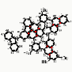 CC(C)(C)c1cc(-c2ccc3c(c2)N(c2c(-c4ccccc4)cc(C(C)(C)C)cc2-c2ccccc2)c2cc(-n4c5ccccc5c5cc(-n6c7ccccc7c7ccccc76)ccc54)cc4c2B3c2ccc(-c3ccccc3)cc2N4c2c(-c3ccccc3)cc(C(C)(C)C)cc2-c2ccccc2)cc(C(C)(C)C)c1